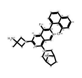 CC1(N)CN(c2nc(N3CC4CCC(C3)N4)c3cnc(-c4cccc5cccc(Cl)c45)c(F)c3n2)C1